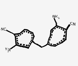 N#Cc1ccc(Cc2ccc(C#N)c(N)c2)cc1N